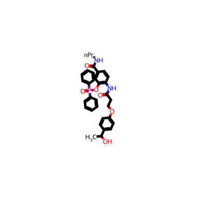 CCCNC(=O)c1ccc(NC(=O)CCOc2ccc(C(C)O)cc2)c(OP(=O)(c2ccccc2)c2ccccc2)c1